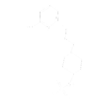 CCCCCc1cccc(CNCC2CCC(NS(=O)(=O)C(C)(C)C)CC2)n1